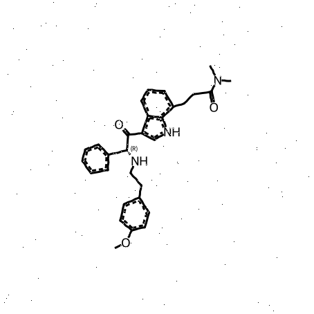 COc1ccc(CCN[C@@H](C(=O)c2c[nH]c3c(CCC(=O)N(C)C)cccc23)c2ccccc2)cc1